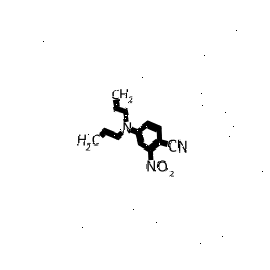 C=CCN(CC=C)c1ccc(C#N)c([N+](=O)[O-])c1